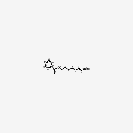 CCCCC=CC=CCCCOC(=O)c1ccccc1